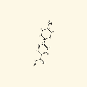 C=CC(=O)c1ccc(N2CCC(O)CC2)cc1